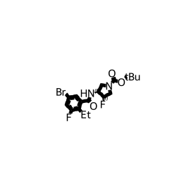 CCc1c(F)cc(Br)cc1C(=O)N[C@@H]1CN(C(=O)OC(C)(C)C)C[C@@H]1F